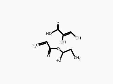 C=CC(=O)OC(O)CC.O=C(O)C(O)=CO